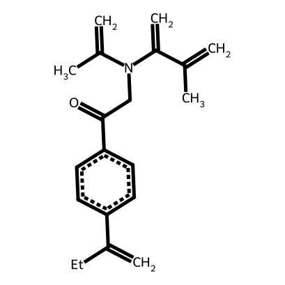 C=C(C)C(=C)N(CC(=O)c1ccc(C(=C)CC)cc1)C(=C)C